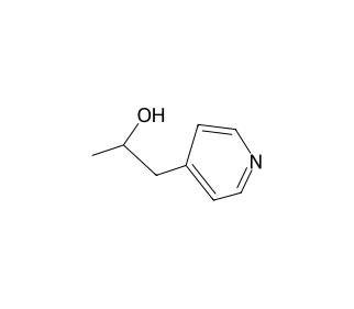 CC(O)Cc1ccncc1